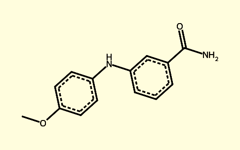 COc1ccc(Nc2cccc(C(N)=O)c2)cc1